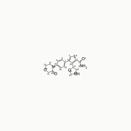 NC(=O)c1scc(-c2ccc(N3CCOCC3=O)cc2)c1C1CNCO1